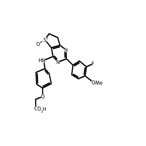 COc1ccc(-c2nc3c(c(Nc4ccc(OCC(=O)O)cc4)n2)[S@+]([O-])CC3)cc1F